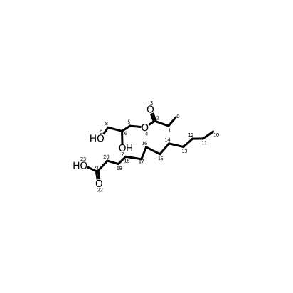 CCC(=O)OCC(O)CO.CCCCCCCCCCCC(=O)O